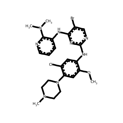 COc1cc(N2CCN(C)CC2)c(Cl)cc1Nc1ncc(Br)c(Nc2cccnc2N(C)C)n1